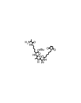 CC(N)C(=O)NCCCCC(NC(=O)C(C)NC(=O)[C@@H](NC(=O)CCCCCN1C(=O)C=CC1=O)C(C)C)C(=O)OC(C)(C)C